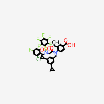 CCc1cc(C(=O)O)ccc1N(Cc1cc(C2CC2)cc(C2CC2)c1)C(=O)CN(Cc1ccc(F)cc1Cl)S(=O)(=O)c1c(F)c(F)c(F)c(F)c1F